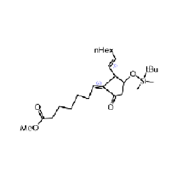 CCCCCC/C=C/C1/C(=C/CCCCCC(=O)OC)C(=O)CC1O[Si](C)(C)C(C)(C)C